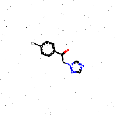 CCc1ccc(C(=O)Cn2cncn2)cc1